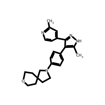 Cc1cc(-c2n[nH]c(C)c2-c2ccc(N3CCC4(CCOCC4)C3)cc2)ccn1